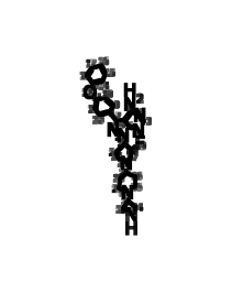 Nc1ncnc2c1c(-c1ccc(Oc3ccccc3)cc1)nn2C1CCN(C2CCN(C3CNC3)CC2)C[C@@H]1F